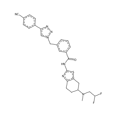 CN(CC(F)F)C1CCc2nc(NC(=O)c3cccc(Cn4cc(-c5ccc(C#N)cc5)nn4)c3)sc2C1